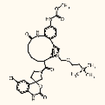 COC(=O)Nc1ccc2c(c1)NC(=O)CCCCC(C(=O)N1CC[C@@]3(C1)OC(=O)Nc1ccc(Cl)cc13)c1nc-2cn1COCC[Si](C)(C)C